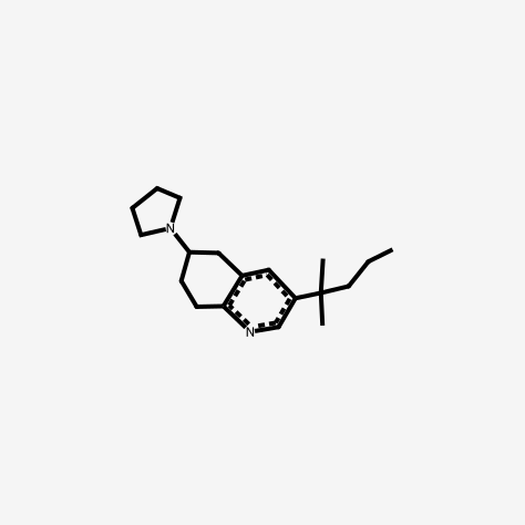 CCCC(C)(C)c1cnc2c(c1)CC(N1CCCC1)CC2